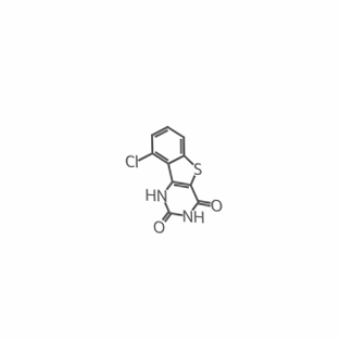 O=c1[nH]c(=O)c2sc3cccc(Cl)c3c2[nH]1